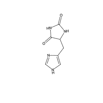 O=C1NC(=O)C(Cc2c[nH]cn2)N1